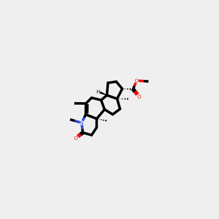 COC(=O)[C@H]1CC[C@H]2C3CC(C)=C4N(C)C(=O)CC[C@]4(C)C3CC[C@]12C